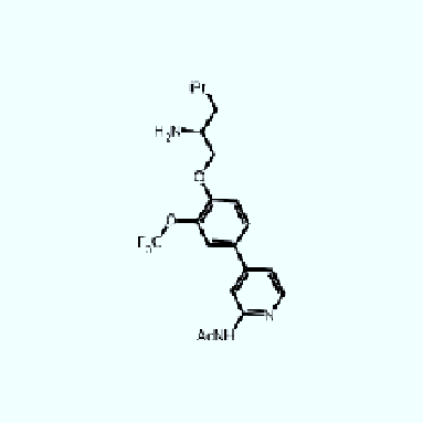 CC(=O)Nc1cc(-c2ccc(OC[C@@H](N)CC(C)C)c(OC(F)(F)F)c2)ccn1